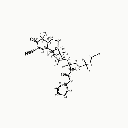 CCCC(C)(C)CC[C@@](C)(CCC(C)(C)[C@]1(C)CC[C@H]2C(C)(C)C(=O)C(C#N)=C[C@]2(C)/C1=C/C(C)=O)NC(=O)Cc1ccccc1